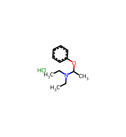 CCN(CC)C(C)Oc1ccccc1.Cl